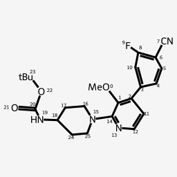 COc1c(-c2ccc(C#N)c(F)c2)ccnc1N1CCC(NC(=O)OC(C)(C)C)CC1